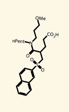 CCCCCN(CCCOC)C(=O)C(CCC(=O)O)CS(=O)(=O)c1ccc2ccccc2c1